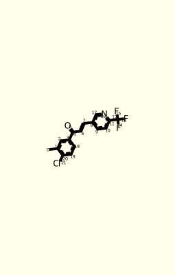 Cc1cc(C(=O)C=Cc2ccc(C(F)(F)F)nc2)ccc1Cl